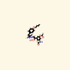 CCCCOc1ccc(CC(C)(C)NCC(O)c2cc(OC(C)=O)cc3[nH]c(=O)sc23)cc1